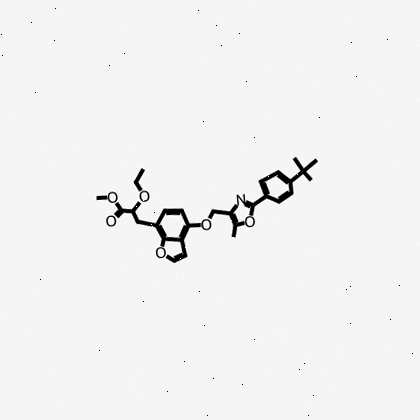 CCOC(Cc1ccc(OCc2nc(-c3ccc(C(C)(C)C)cc3)oc2C)c2ccoc12)C(=O)OC